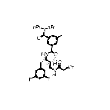 CCCN(CCC)C(=O)c1cc(C)cc(C(=O)N[C@@H](Cc2cc(F)cc(F)c2)[C@H](O)CNC(=O)CC(C)C)c1